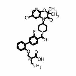 CC[C@@H](COc1ccccc1-c1ccc(C(=O)N2CCC(N3C(=O)C(C)(C)Oc4ncc(Cl)cc43)CC2)c(F)c1)C(=O)O